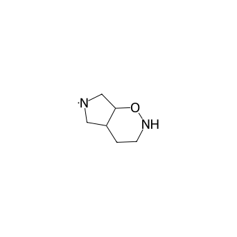 C1CC2C[N]CC2ON1